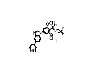 COc1cc(-n2cnc3cc(-c4ccnnc4)ccc32)cc(OC)c1C(=O)NCC(F)(F)F